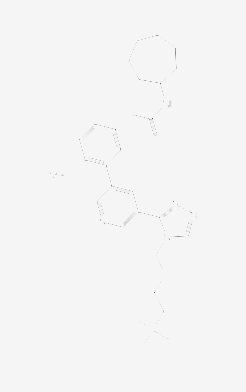 COc1ccc(OC(=O)NC2CCCCCC2)cc1-c1cncc(-c2nncn2COCC[Si](C)(C)C)c1